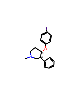 CN1CC[C@H](Oc2ccc(I)cc2)[C@@H](c2ccccc2)C1